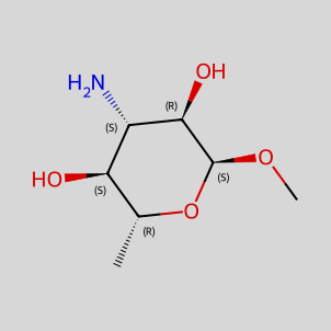 CO[C@H]1O[C@H](C)[C@@H](O)[C@H](N)[C@H]1O